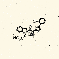 CC1(C(=O)Nc2nc(-c3ccccc3Cl)cs2)Cc2ccccc2N1CC(=O)O